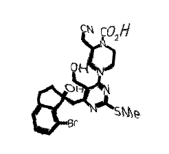 CSc1nc(CC2(O)CCc3cccc(Br)c32)c(CO)c(N2CCN(C(=O)O)C(CC#N)C2)n1